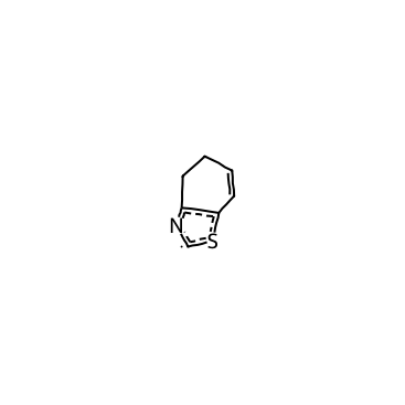 [c]1nc2c(s1)C=CCC2